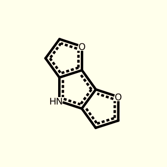 c1cc2[nH]c3ccoc3c2o1